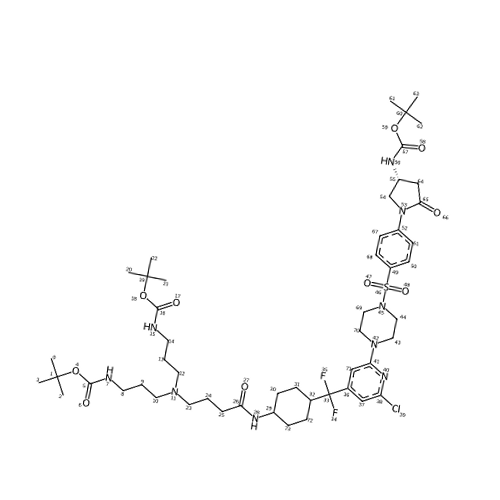 CC(C)(C)OC(=O)NCCCN(CCCNC(=O)OC(C)(C)C)CCCC(=O)NC1CCC(C(F)(F)c2cc(Cl)nc(N3CCN(S(=O)(=O)c4ccc(N5C[C@H](NC(=O)OC(C)(C)C)CC5=O)cc4)CC3)c2)CC1